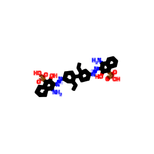 CCc1cc(/N=N/c2c(O)c(S(=O)(=O)O)c3ccccc3c2N)ccc1-c1ccc(/N=N/c2c(O)c(S(=O)(=O)O)c3ccccc3c2N)cc1CC